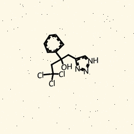 OC(Cc1c[nH]nn1)(CC(Cl)(Cl)Cl)c1ccccc1